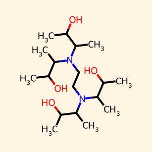 CC(O)C(C)N(CCN(C(C)C(C)O)C(C)C(C)O)C(C)C(C)O